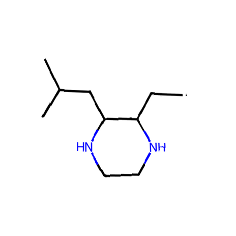 [CH2]CC1NCCNC1CC(C)C